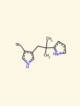 CC(C)(C)c1c[nH]cc1CC(C)(C)c1ccc[nH]1